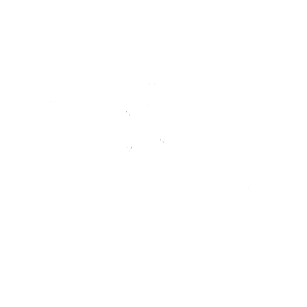 CON=C(C(=O)NOCCO)c1ccccc1COc1ccccc1C